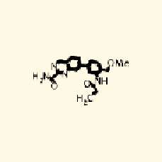 C=CC(=O)Nc1cc(-c2ccc3cnc(C(N)=O)nc3c2)ccc1COC